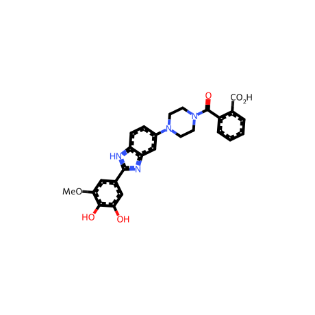 COc1cc(-c2nc3cc(N4CCN(C(=O)c5ccccc5C(=O)O)CC4)ccc3[nH]2)cc(O)c1O